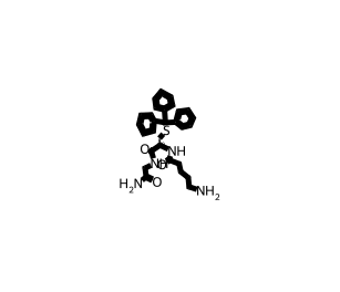 NCCCCC(=O)N[C@@H](CSC(c1ccccc1)(c1ccccc1)c1ccccc1)C(=O)NCC(N)=O